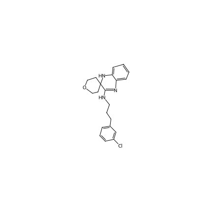 Clc1cccc(CCCNC2=Nc3ccccc3NC23CCOCC3)c1